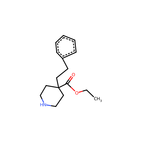 CCOC(=O)C1(CCc2ccccc2)CCNCC1